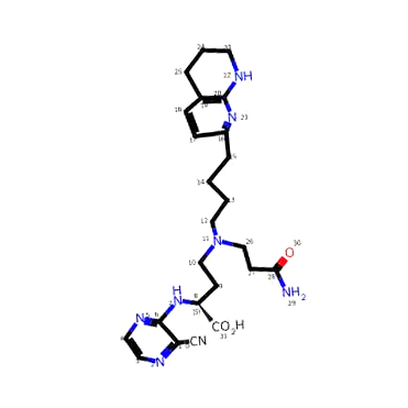 N#Cc1nccnc1N[C@@H](CCN(CCCCc1ccc2c(n1)NCCC2)CCC(N)=O)C(=O)O